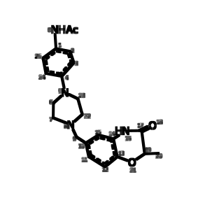 CC(=O)Nc1ccc(N2CCN(Cc3ccc4c(c3)NC(=O)C(C)O4)CC2)cc1